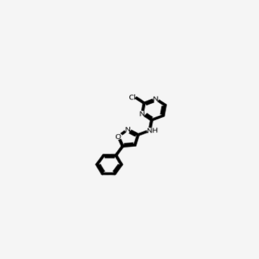 Clc1nccc(Nc2cc(-c3ccccc3)on2)n1